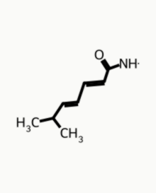 CC(C)C=CC=CC([NH])=O